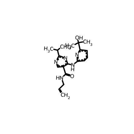 C=CCNC(=O)c1cnc(C(C)C=O)nc1Nc1cccc(C(C)(C)O)n1